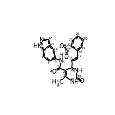 CC1=C(C(=O)Nc2ccc3[nH]ncc3c2)C(/C=C/c2ccccc2[N+](=O)[O-])NC(=O)N1